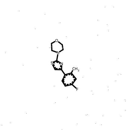 Cc1cc(F)ccc1-c1csc(N2CCOCC2)n1